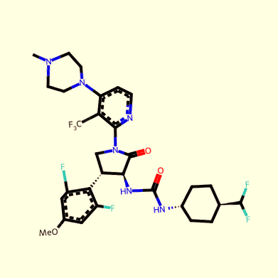 COc1cc(F)c([C@@H]2CN(c3nccc(N4CCN(C)CC4)c3C(F)(F)F)C(=O)[C@H]2NC(=O)N[C@H]2CC[C@H](C(F)F)CC2)c(F)c1